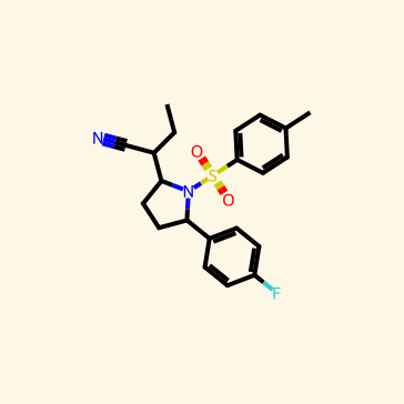 CCC(C#N)C1CCC(c2ccc(F)cc2)N1S(=O)(=O)c1ccc(C)cc1